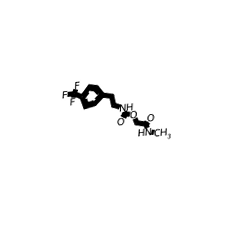 CNC(=O)COC(=O)NCCc1ccc(C(F)(F)F)cc1